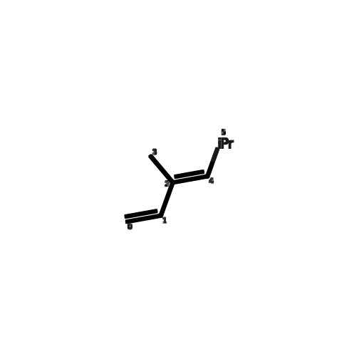 C=C/C(C)=C/C(C)C